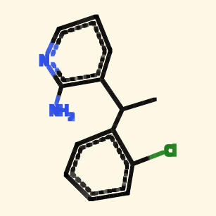 CC(c1ccccc1Cl)c1cccnc1N